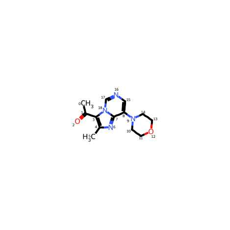 CC(=O)c1c(C)nc2c(N3CCOCC3)cncn12